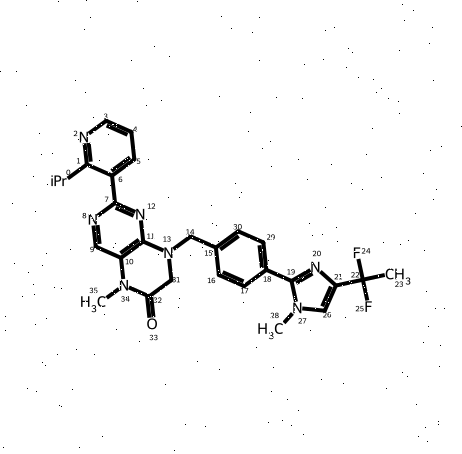 CC(C)c1ncccc1-c1ncc2c(n1)N(Cc1ccc(-c3nc(C(C)(F)F)cn3C)cc1)CC(=O)N2C